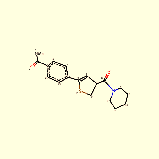 CNC(=O)c1ccc(C2=CC(C(=O)N3CCCCC3)CS2)cc1